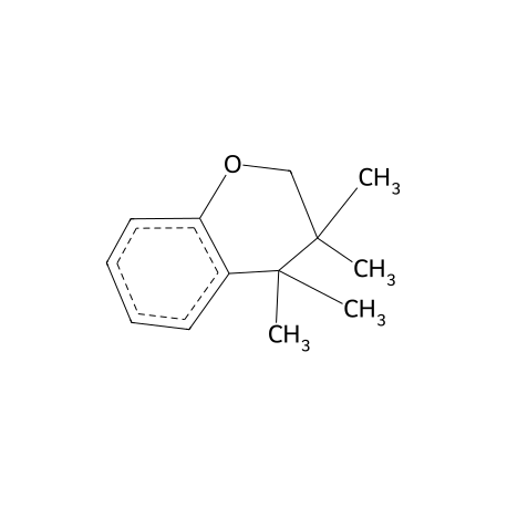 CC1(C)COc2ccccc2C1(C)C